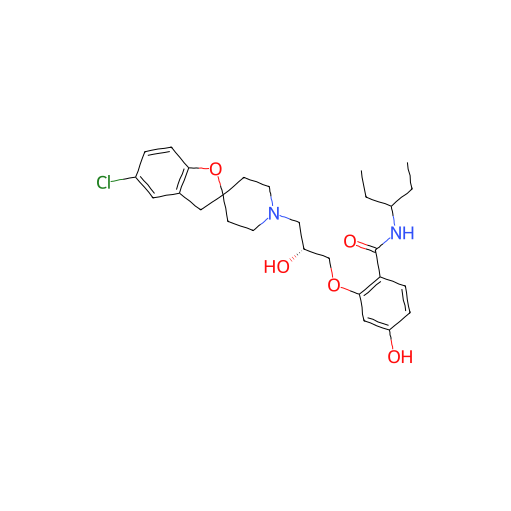 CCC(CC)NC(=O)c1ccc(O)cc1OC[C@H](O)CN1CCC2(CC1)Cc1cc(Cl)ccc1O2